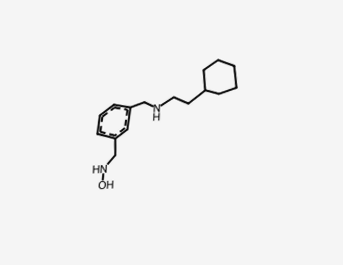 ONCc1cccc(CNCCC2CCCCC2)c1